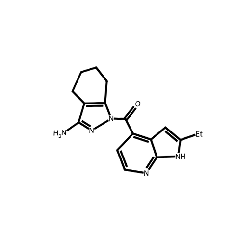 CCc1cc2c(C(=O)n3nc(N)c4c3CCCC4)ccnc2[nH]1